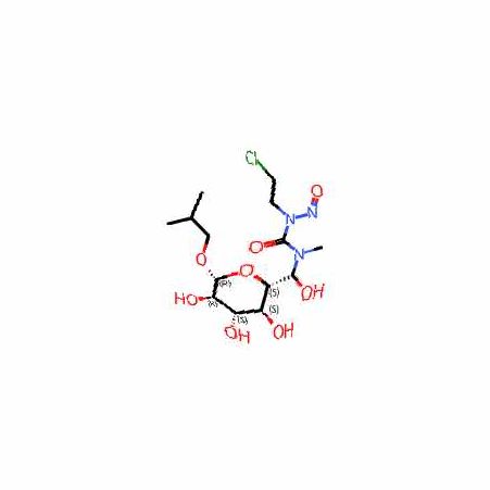 CC(C)CO[C@@H]1O[C@H](C(O)N(C)C(=O)N(CCCl)N=O)[C@@H](O)[C@H](O)[C@H]1O